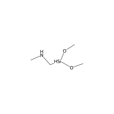 CNC[SiH](OC)OC